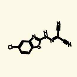 N#CC(C#N)=NNc1nc2cc(Cl)ccc2s1